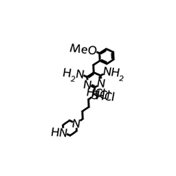 COc1ccccc1Cc1c(N)nc(SCCCCN2CCNCC2)nc1N.Cl.Cl.Cl